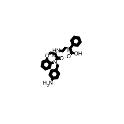 Nc1ccc(CN2C(=O)[C@@H](NCC[C@H](C(=O)O)c3ccccc3)COc3ccccc32)cc1